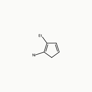 CCC1=[C]([Ni])CC=C1